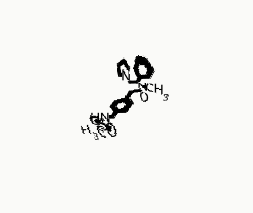 CN(C(=O)Cc1ccc(CNS(C)(=O)=O)cc1)C(CN1CCCC1)c1ccccc1